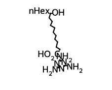 CCCCCCC(O)CCCCCCCCCCC(=O)O.Nc1nc(N)nc(N)n1